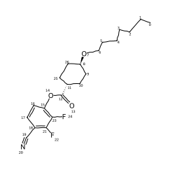 CCCCCCCO[C@H]1CC[C@H](C(=O)Oc2ccc(C#N)c(F)c2F)CC1